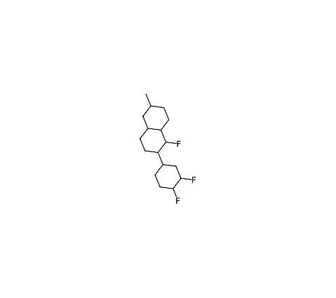 CC1CCC2C(CCC(C3CCC(F)C(F)C3)C2F)C1